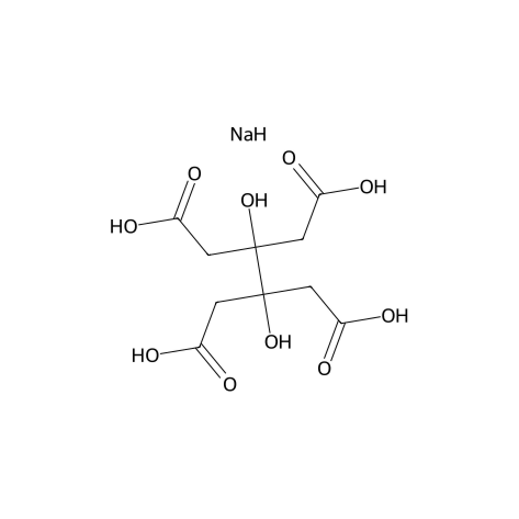 O=C(O)CC(O)(CC(=O)O)C(O)(CC(=O)O)CC(=O)O.[NaH]